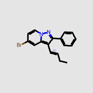 CC/C=C/c1c(-c2ccccc2)nn2ccc(Br)cc12